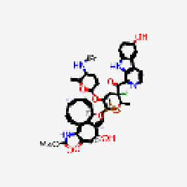 COC(=O)NC1=C2C#C/C=C\C#C[C@H](OC3OC(C)C(F)(C(=O)c4nccc5c4[nH]c4ccc(O)cc45)CC3OC3CCC(NC(C)C)C(C)O3)C2/C(=C\CS(C)=S)[C@@H](O)CC1=O